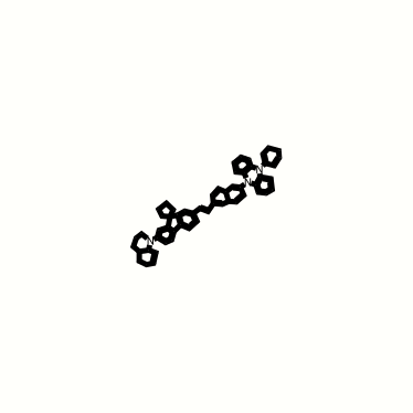 C1=CC(N2c3ccccc3N(C3=CC4C=CC(/C=C/c5ccc6c(c5)C5(CCCC5)c5cc(N7CCCC8CCC=CC87)ccc5-6)=CC4C=C3)c3ccccc32)=CCC1